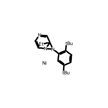 CCC12C=NC=CN1N2c1cc(C(C)(C)C)ccc1C(C)(C)C.[Ni]